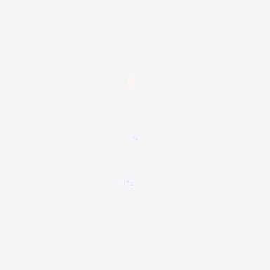 [O]CCC1CCN(CCC2CCCN2)CC1